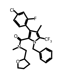 Cc1c(-c2ccc(Cl)cc2F)c(C(=O)N(C)CC2CCCO2)n(Cc2ccccc2)c1C(F)(F)F